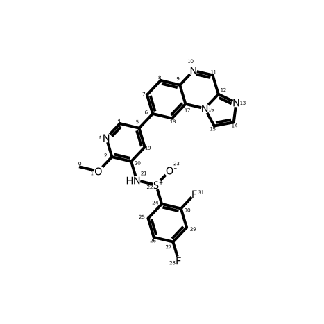 COc1ncc(-c2ccc3ncc4nccn4c3c2)cc1N[S+]([O-])c1ccc(F)cc1F